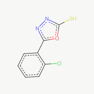 Sc1nnc(-c2ccccc2Cl)o1